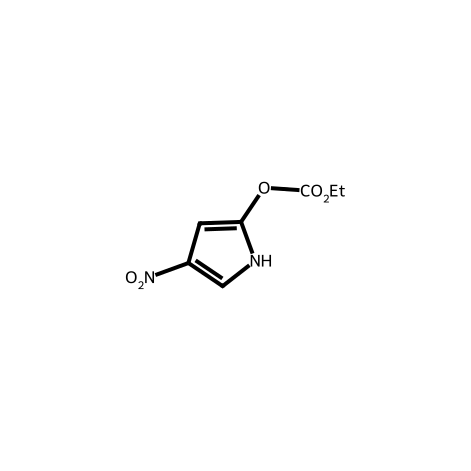 CCOC(=O)Oc1cc([N+](=O)[O-])c[nH]1